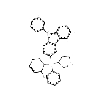 CC1C=CCCC1[Si](c1ccccc1)(c1ccc2c(c1)c1ccccc1n2-c1ccccc1)C1CCOC1